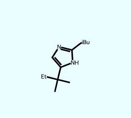 CCC(C)c1ncc(C(C)(C)CC)[nH]1